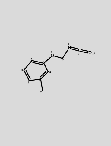 Cc1cccc(OCN=C=O)c1